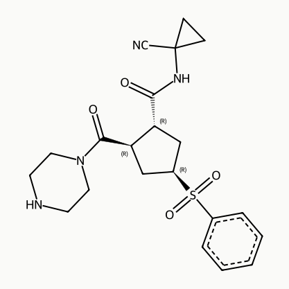 N#CC1(NC(=O)[C@@H]2C[C@@H](S(=O)(=O)c3ccccc3)C[C@H]2C(=O)N2CCNCC2)CC1